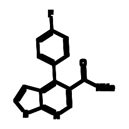 CNC(=O)c1cnc2sccc2c1-c1ccc(F)cc1